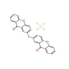 F[B-](F)(F)F.O=c1c2ccccc2oc2ccc([I+]c3ccc4oc5ccccc5c(=O)c4c3)cc12